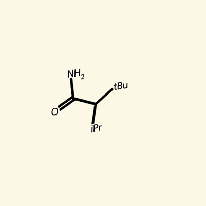 CC(C)C(C(N)=O)C(C)(C)C